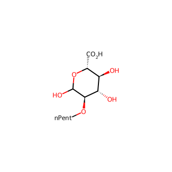 CCCCCO[C@H]1C(O)O[C@H](C(=O)O)[C@@H](O)[C@@H]1O